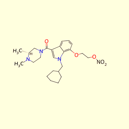 C[C@@H]1CN(C(=O)c2cn(CC3CCCCC3)c3c(OCCO[N+](=O)[O-])cccc23)CCN1C